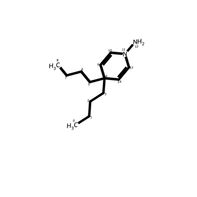 CCCCC1(CCCC)C=CN(N)C=C1